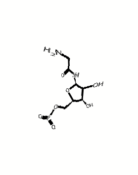 NCC(=O)N[C@@H]1O[C@H](COP(=O)=O)[C@H](O)C1O